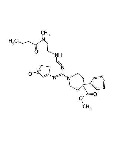 CCCC(=O)N(C)CCN/C=N/C(=N\C1=C[S@@+]([O-])CC1)N1CCC(C(=O)OC)(c2ccccc2)CC1